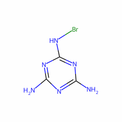 Nc1nc(N)nc(NBr)n1